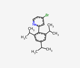 CC(C)c1cc(C(C)C)c(-c2cc(Br)ccn2)c(C(C)C)c1